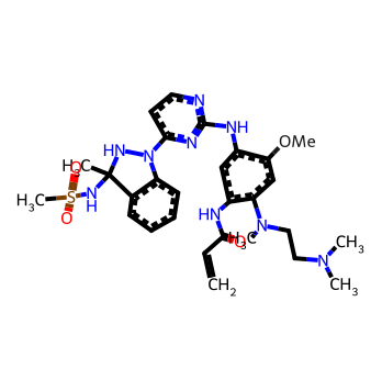 C=CC(=O)Nc1cc(Nc2nccc(N3NC(C)(NS(C)(=O)=O)c4ccccc43)n2)c(OC)cc1N(C)CCN(C)C